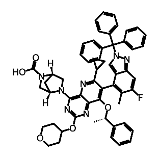 Cc1c(F)cc2nn(C(c3ccccc3)(c3ccccc3)c3ccccc3)cc2c1-c1c(C2CC2)nc2c(N3C[C@@H]4C[C@H]3CN4C(=O)O)nc(OC3CCOCC3)nc2c1O[C@@H](C)c1ccccc1